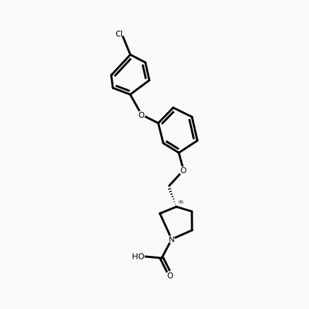 O=C(O)N1CC[C@@H](COc2cccc(Oc3ccc(Cl)cc3)c2)C1